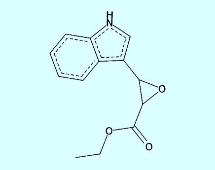 CCOC(=O)C1OC1c1c[nH]c2ccccc12